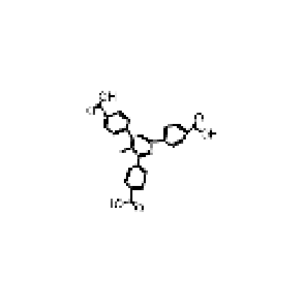 Cc1c(-c2ccc(C(=O)O)cc2)cc(-c2ccc(C(=O)O)cc2)cc1-c1ccc(C(=O)O)cc1